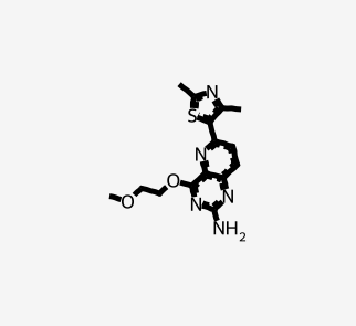 COCCOc1nc(N)nc2ccc(-c3sc(C)nc3C)nc12